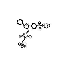 O=C1C(=Cc2cn(-c3ccccc3)nc2-c2ccc(S(=O)(=O)N3CCOCC3)cc2)SC(=S)N1CCS(=O)(=O)O